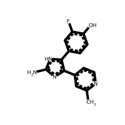 Cc1cc(-c2nc(N)[nH]c2-c2ccc(O)c(F)c2)ccn1